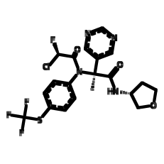 C[C@@](C(=O)N[C@@H]1CCOC1)(c1cncnc1)N(C(=O)[C@H](F)Cl)c1ccc(SC(F)(F)F)cc1